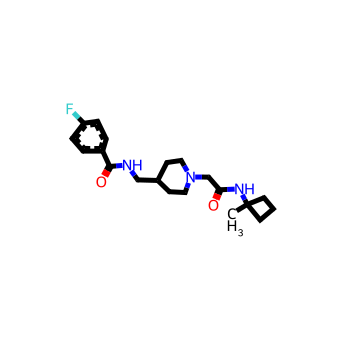 CC1(NC(=O)CN2CCC(CNC(=O)c3ccc(F)cc3)CC2)CCC1